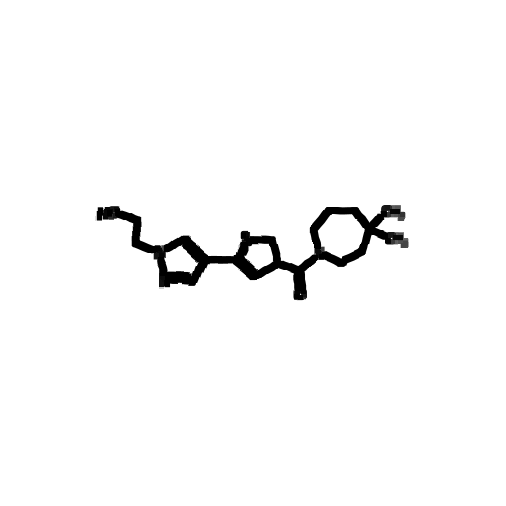 CC1(C)CCCN(C(=O)C2C=C(c3cnn(CCO)c3)SC2)CC1